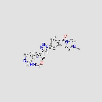 CN1CCN(C(=O)c2ccc(-n3cc(/C4=C/c5ccncc5NCOC4)nn3)cc2)CC1